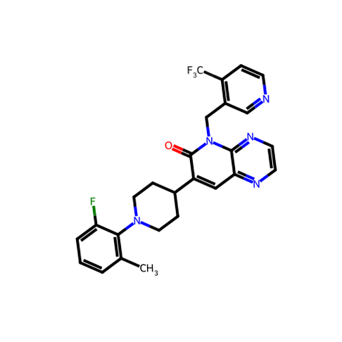 Cc1cccc(F)c1N1CCC(c2cc3nccnc3n(Cc3cnccc3C(F)(F)F)c2=O)CC1